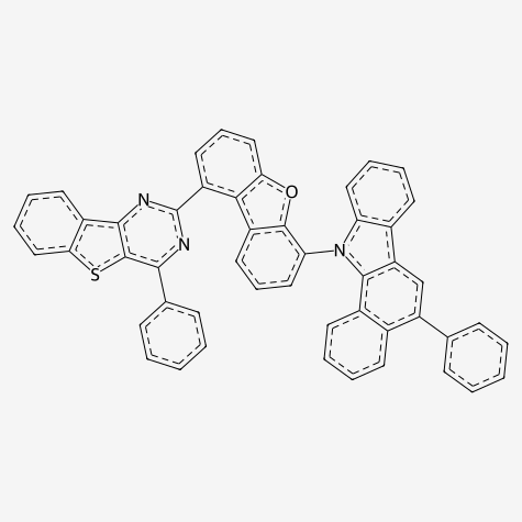 c1ccc(-c2cc3c4ccccc4n(-c4cccc5c4oc4cccc(-c6nc(-c7ccccc7)c7sc8ccccc8c7n6)c45)c3c3ccccc23)cc1